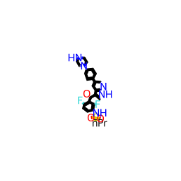 CCCS(=O)(=O)Nc1ccc(F)c(C(=O)c2c[nH]c3ncc(-c4ccc(N5CCNCC5)cc4)cc23)c1F